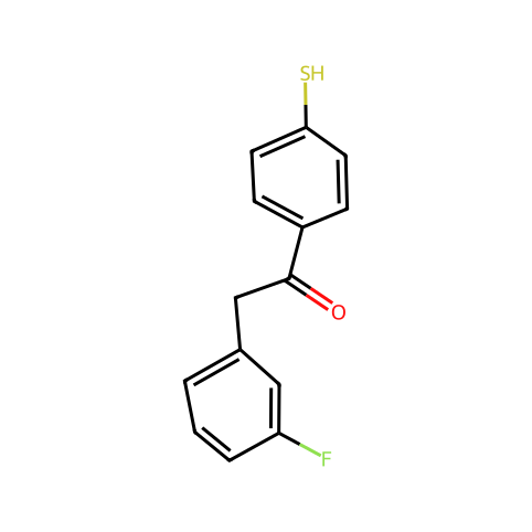 O=C(Cc1cccc(F)c1)c1ccc(S)cc1